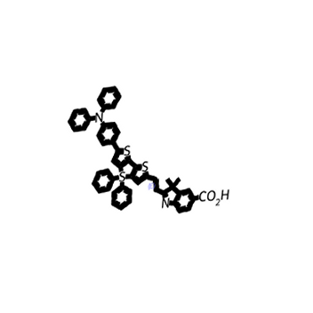 CC1(C)C(/C=C/c2cc3c(s2)-c2sc(-c4ccc(N(c5ccccc5)c5ccccc5)cc4)cc2S3(c2ccccc2)c2ccccc2)=Nc2ccc(C(=O)O)cc21